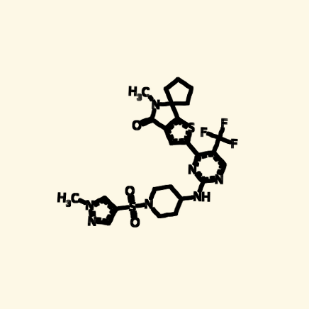 CN1C(=O)c2cc(-c3nc(NC4CCN(S(=O)(=O)c5cnn(C)c5)CC4)ncc3C(F)(F)F)sc2C12CCCC2